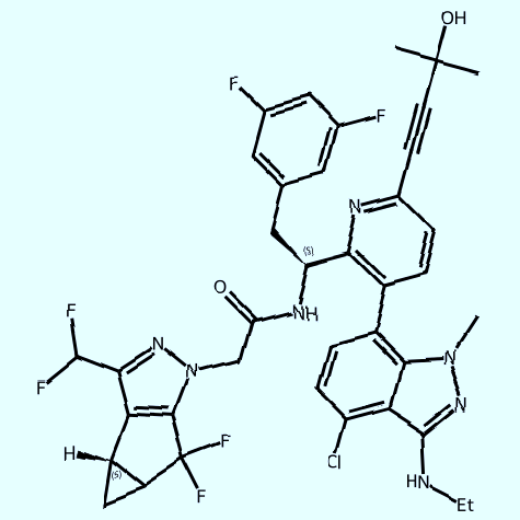 CCNc1nn(C)c2c(-c3ccc(C#CC(C)(C)O)nc3[C@H](Cc3cc(F)cc(F)c3)NC(=O)Cn3nc(C(F)F)c4c3C(F)(F)C3C[C@H]43)ccc(Cl)c12